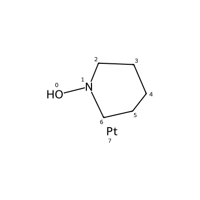 ON1CCCCC1.[Pt]